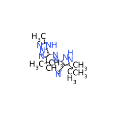 Cc1nn2nc(C(C)(C)C)c(N=Nc3n[nH]c(C(C)(C)C)c3C#N)c2[nH]1